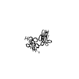 Nc1ccccc1C(=O)Nc1ccc(-c2ccc(NC(=O)c3ccccc3N)c(OC(=O)O)c2)cc1OC(=O)O